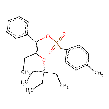 CCC(O[Si](CC)(CC)CC)C(OS(=O)(=O)c1ccc(C)cc1)c1ccccc1